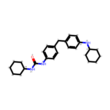 O=C(Nc1ccc(Cc2ccc(NC3CCCCC3)cc2)cc1)NC1CCCCC1